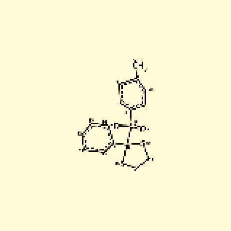 Cc1ccc(S(=O)(=O)C2(c3ccccc3)SCCS2)cc1